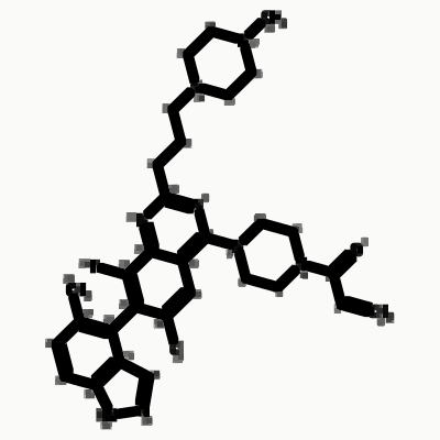 C=CC(=O)N1CCN(c2nc(CCCN3CCN(C)CC3)nc3c(F)c(-c4c(C)ccc5[nH]ncc45)c(Cl)cc23)CC1